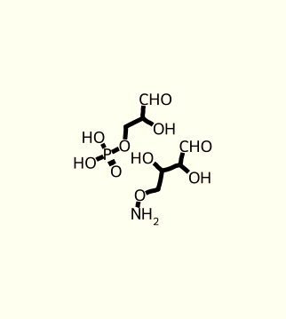 NOCC(O)C(O)C=O.O=CC(O)COP(=O)(O)O